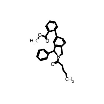 CCCCC(=O)N1Cc2ccc(-c3ccccc3C(=O)OC)cc2C1c1ccccc1